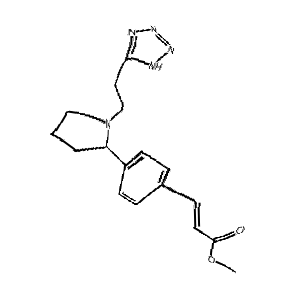 COC(=O)C=Cc1ccc(C2CCCN2CCc2nnn[nH]2)cc1